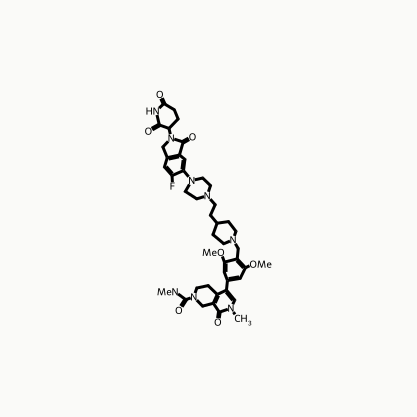 CNC(=O)N1CCc2c(-c3cc(OC)c(CN4CCC(CCN5CCN(c6cc7c(cc6F)CN(C6CCC(=O)NC6=O)C7=O)CC5)CC4)c(OC)c3)cn(C)c(=O)c2C1